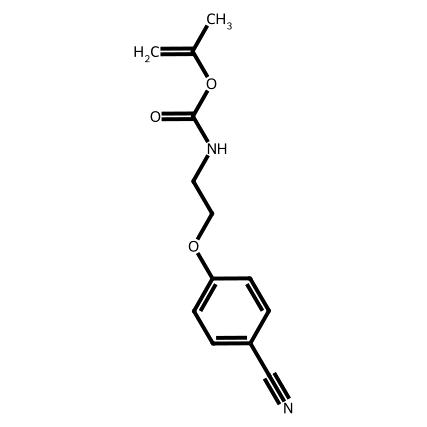 C=C(C)OC(=O)NCCOc1ccc(C#N)cc1